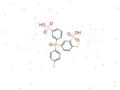 O=P(c1ccc(F)cc1)(c1cccc(S(=O)(=O)O)c1)c1ccc(F)c(S(=O)(=O)O)c1